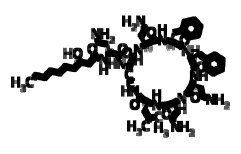 CCCCCCC[C@@H](O)CC(=O)N[C@H](CCN)C(=O)N[C@H]1CCNC(=O)[C@H](CC(C)C)NC(=O)[C@H](CCN)NC(=O)[C@H](CCN)NC(=O)[C@H](Cc2ccccc2)NC(=O)[C@@H](Cc2ccccc2)NC(=O)[C@H](CCN)NC1=O